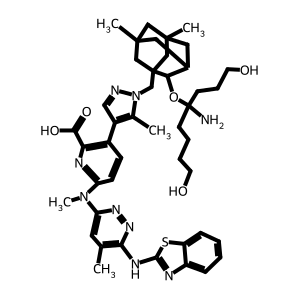 Cc1cc(N(C)c2ccc(-c3cnn(CC45CC6(C)CC(CC(C)(C6)C4)C5OC(N)(CCCO)CCCCO)c3C)c(C(=O)O)n2)nnc1Nc1nc2ccccc2s1